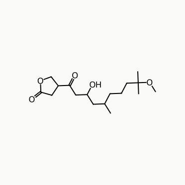 COC(C)(C)CCCC(C)CC(O)CC(=O)C1COC(=O)C1